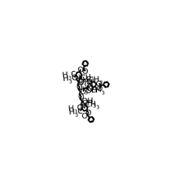 CC1(C)CC(OC(=O)c2ccccc2)CC(C)(C)N1CC(O)COCC(COCC(O)CN1C(C)(C)CC(OC(=O)c2ccccc2)CC1(C)C)OCC(O)CN1C(C)(C)CC(OC(=O)c2ccccc2)CC1(C)C